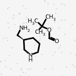 CC(C)(C)OC=O.NC[C@H]1CCCNC1